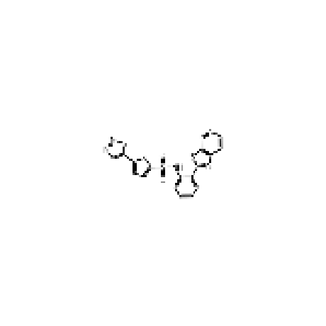 O=S(=O)(Nc1ccccc1-c1nc2ccncc2s1)c1ccc(-c2cnns2)s1